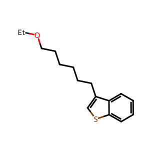 [CH2]COCCCCCCc1csc2ccccc12